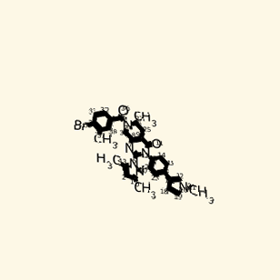 Cc1cc(C)n(-c2nc3c(c(=O)n2-c2ccc(-c4ccn(C)c4)cc2)CC(C)N(C(=O)c2ccc(Br)c(C)c2)C3)n1